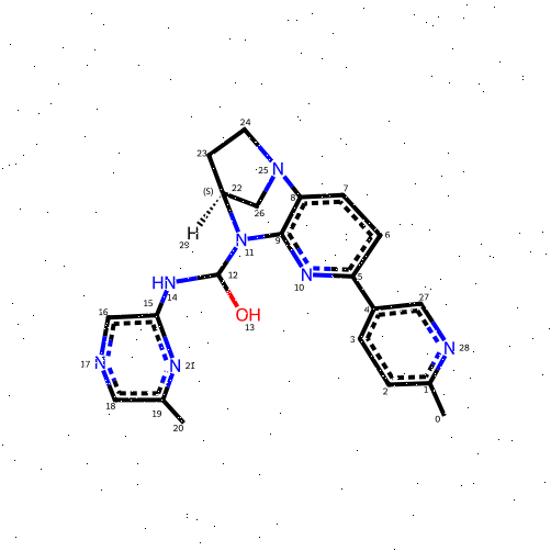 Cc1ccc(-c2ccc3c(n2)N(C(O)Nc2cncc(C)n2)[C@H]2CCN3C2)cn1